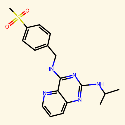 CC(C)Nc1nc(NCc2ccc(S(C)(=O)=O)cc2)c2ncccc2n1